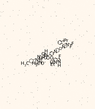 CCOc1nc2[nH]cc(F)c2cc1Oc1cc(N2CCC3(CC2)CC(N2CCN(CC(F)F)CC2c2ccccc2C(C)C)C3)ccc1C(=O)NS(=O)(=O)c1cnc(NCC2CCC(C)CC2)c([NH+](C)[O-])c1